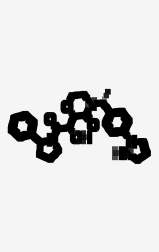 C[C@H](c1ccc(N2C=CCN2)cc1)N1CCO[C@H]([C@@H](O)C(=O)N2CCCC2c2ccccc2)C1=O